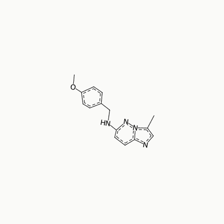 COc1ccc(CNc2ccc3ncc(C)n3n2)cc1